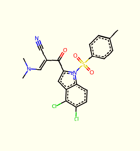 Cc1ccc(S(=O)(=O)n2c(C(=O)C(C#N)=CN(C)C)cc3c(Cl)c(Cl)ccc32)cc1